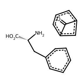 N[C@H](Cc1ccccc1)C(=O)O.O=C1c2cccc1c2